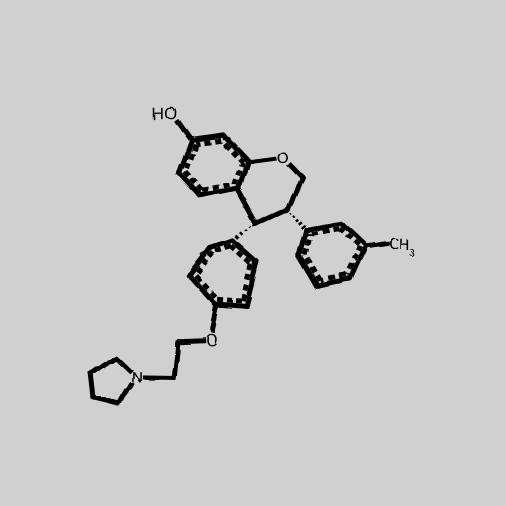 Cc1cccc([C@H]2COc3cc(O)ccc3[C@H]2c2ccc(OCCN3CCCC3)cc2)c1